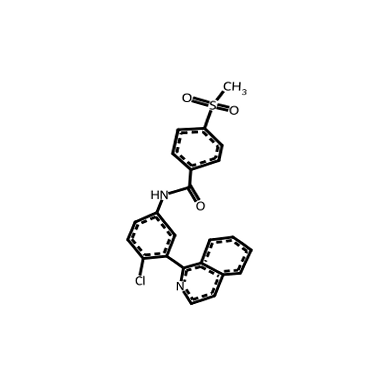 CS(=O)(=O)c1ccc(C(=O)Nc2ccc(Cl)c(-c3nccc4ccccc34)c2)cc1